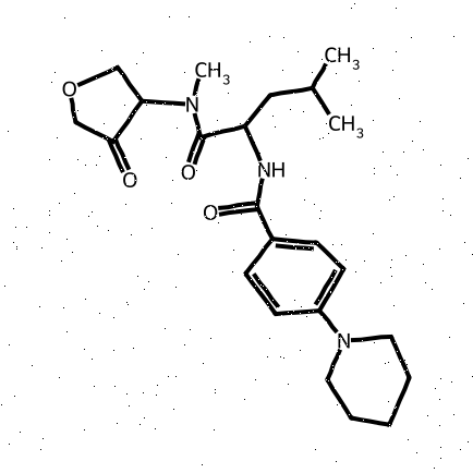 CC(C)CC(NC(=O)c1ccc(N2CCCCC2)cc1)C(=O)N(C)C1COCC1=O